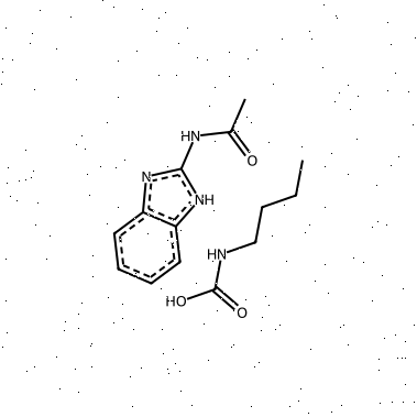 CC(=O)Nc1nc2ccccc2[nH]1.CCCCNC(=O)O